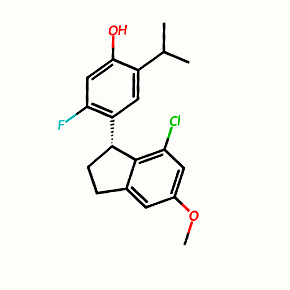 COc1cc(Cl)c2c(c1)CC[C@@H]2c1cc(C(C)C)c(O)cc1F